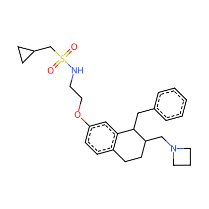 O=S(=O)(CC1CC1)NCCOc1ccc2c(c1)C(Cc1ccccc1)C(CN1CCC1)CC2